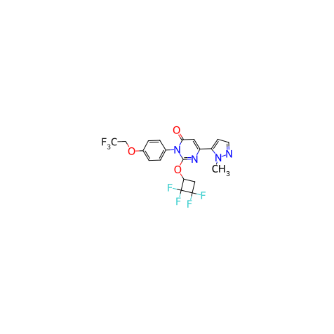 Cn1nccc1-c1cc(=O)n(-c2ccc(OCC(F)(F)F)cc2)c(OC2CC(F)(F)C2(F)F)n1